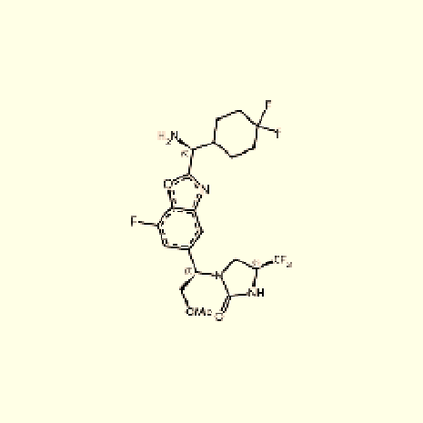 COC[C@@H](c1cc(F)c2oc([C@@H](N)C3CCC(F)(F)CC3)nc2c1)N1C[C@@H](C(F)(F)F)NC1=O